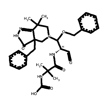 CC1(C)CN(C(OCc2ccccc2)[C@H](C=O)NC(=O)C(C)(C)NC(=O)O)CC2(Cc3ccccc3)C(=O)NN=C12